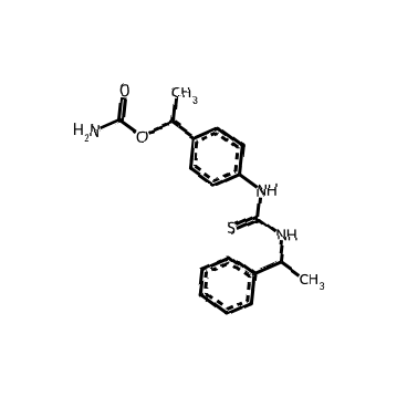 CC(NC(=S)Nc1ccc(C(C)OC(N)=O)cc1)c1ccccc1